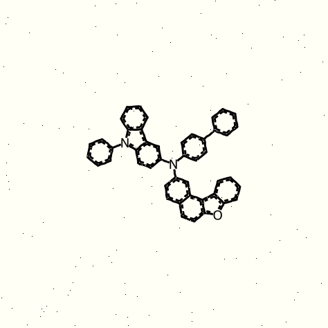 c1ccc(-c2ccc(N(c3ccc4ccc5oc6ccccc6c5c4c3)c3ccc4c(c3)c3ccccc3n4-c3ccccc3)cc2)cc1